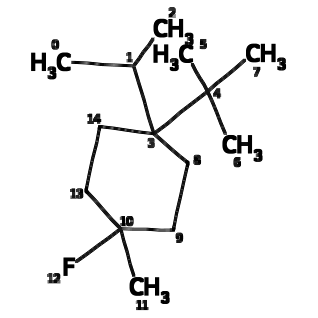 CC(C)C1(C(C)(C)C)CCC(C)(F)CC1